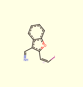 N=Cc1c(/C=C\I)oc2ccccc12